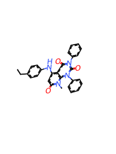 CCc1ccc(Nc2cc(=O)n(C)c3c2c(=O)n(-c2ccccc2)c(=O)n3-c2ccccc2)cc1